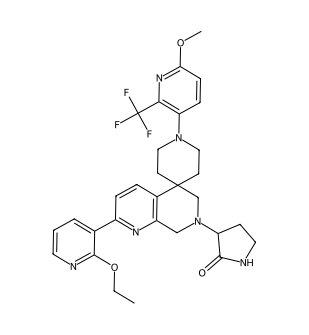 CCOc1ncccc1-c1ccc2c(n1)CN(C1CCNC1=O)CC21CCN(c2ccc(OC)nc2C(F)(F)F)CC1